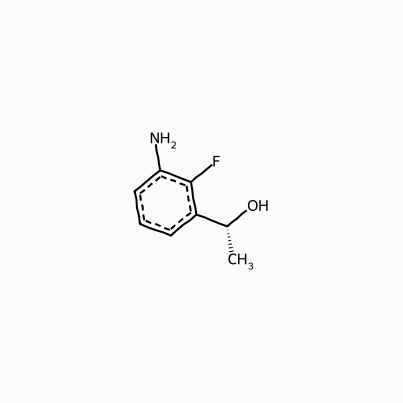 C[C@@H](O)c1cccc(N)c1F